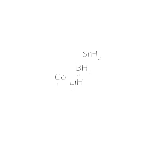 B.[Co].[LiH].[SrH2]